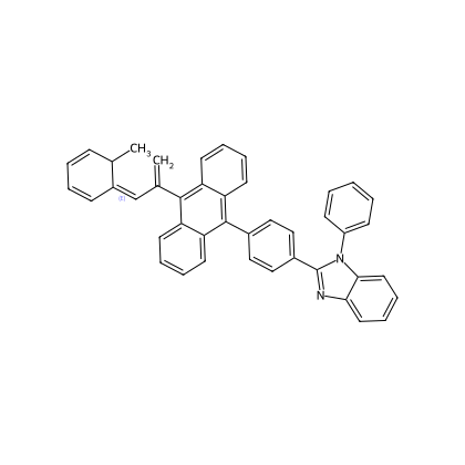 C=C(/C=C1/C=CC=CC1C)c1c2ccccc2c(-c2ccc(-c3nc4ccccc4n3-c3ccccc3)cc2)c2ccccc12